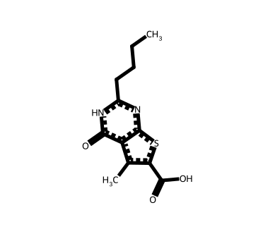 CCCCc1nc2sc(C(=O)O)c(C)c2c(=O)[nH]1